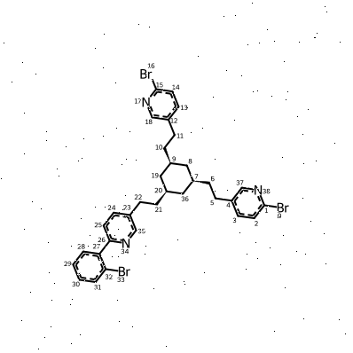 Brc1ccc(CC[C@@H]2C[C@H](CCc3ccc(Br)nc3)C[C@H](CCc3ccc(-c4ccccc4Br)nc3)C2)cn1